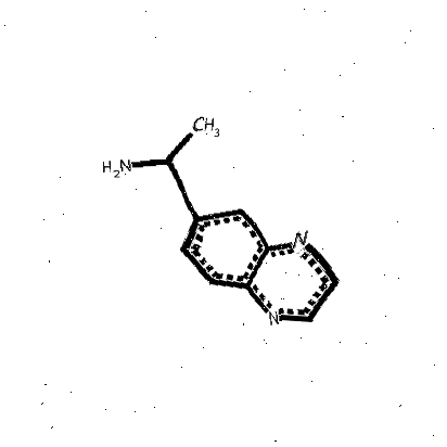 CC(N)c1ccc2nccnc2c1